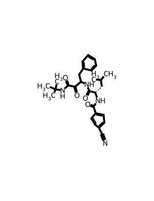 CC(C)C[C@H](NC(=O)c1ccc(C#N)cc1)C(=O)NC(Cc1ccccc1)C(=O)C(=O)NC(C)(C)C